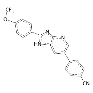 N#Cc1ccc(-c2cnc3nc(-c4ccc(OC(F)(F)F)cc4)[nH]c3c2)cc1